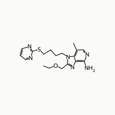 CCOCc1nc2c(N)ncc(C)c2n1CCCCSc1ncccn1